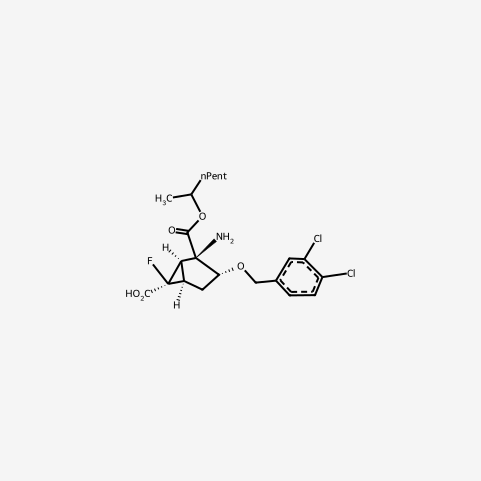 CCCCCC(C)OC(=O)[C@@]1(N)[C@H]2[C@@H](C[C@H]1OCc1ccc(Cl)c(Cl)c1)[C@]2(F)C(=O)O